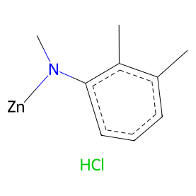 Cc1cccc([N](C)[Zn])c1C.Cl